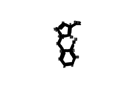 CCc1cnn(Cc2ccccc2F)c1